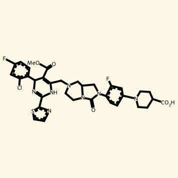 COC(=O)C1=C(CN2CCN3C(=O)N(c4ccc(N5CCC(C(=O)O)CC5)cc4F)CC3C2)NC(c2nccs2)=NC1c1ccc(F)cc1Cl